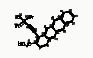 CC(C)[Si](C#Cc1c(C(=O)O)ccc2cc3cc4ccccc4cc3cc12)(C(C)C)C(C)C